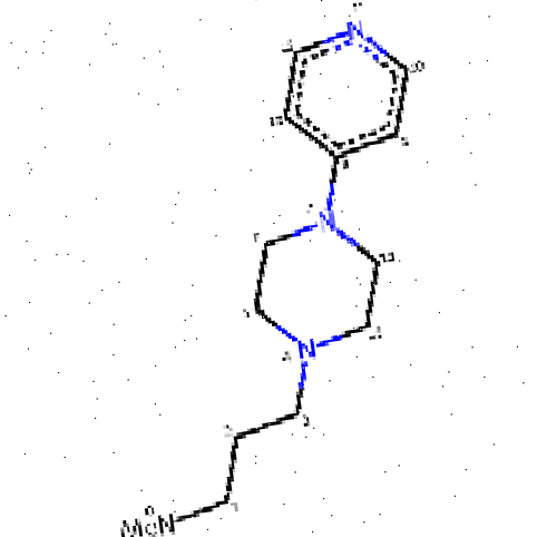 CNCCCN1CCN(c2ccncc2)CC1